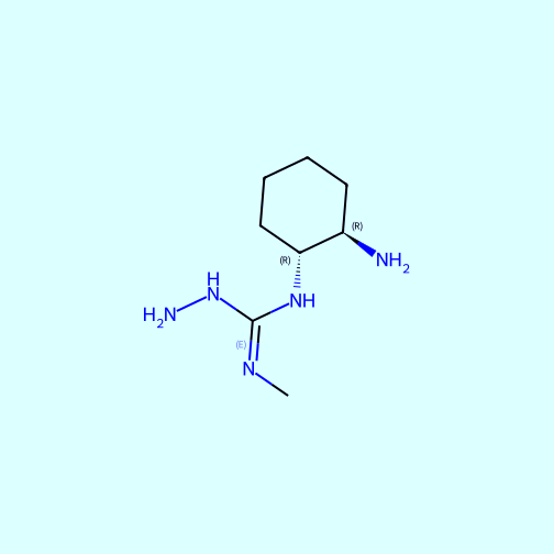 C/N=C(/NN)N[C@@H]1CCCC[C@H]1N